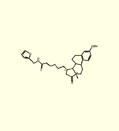 COc1ccc2c(c1)CCC1C2CC[C@]2(C)C(=O)C[C@@H](CCCCCC(=O)NCc3ccco3)C12